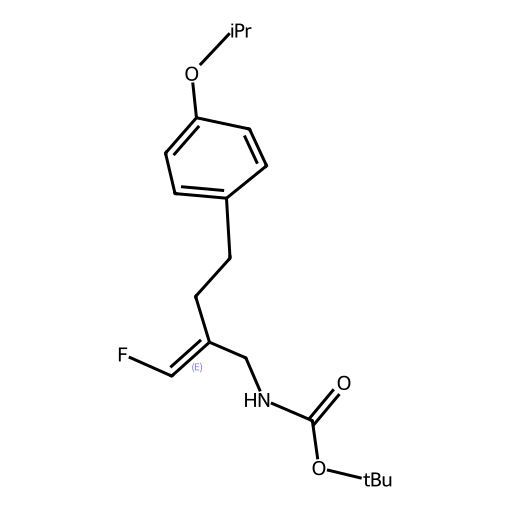 CC(C)Oc1ccc(CC/C(=C\F)CNC(=O)OC(C)(C)C)cc1